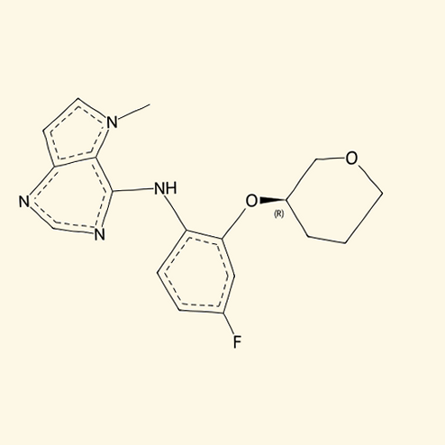 Cn1ccc2ncnc(Nc3ccc(F)cc3O[C@@H]3CCCOC3)c21